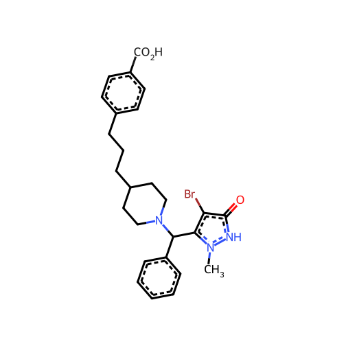 Cn1[nH]c(=O)c(Br)c1C(c1ccccc1)N1CCC(CCCc2ccc(C(=O)O)cc2)CC1